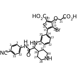 N#Cc1ccc(NC(=O)C(Nc2cccc(-c3sc(C(=O)O)c(OCC(=O)O)c3Br)c2)C2CCNCC2)cc1